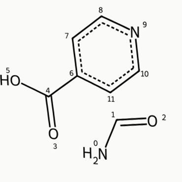 NC=O.O=C(O)c1ccncc1